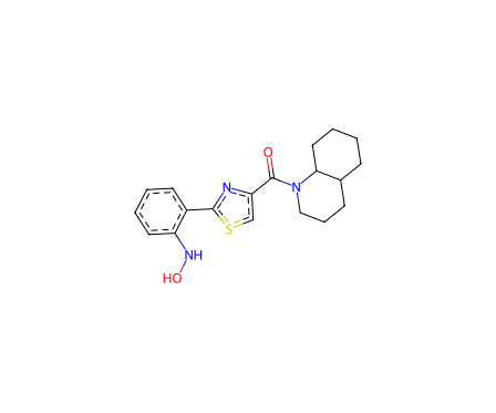 O=C(c1csc(-c2ccccc2NO)n1)N1CCCC2CCCCC21